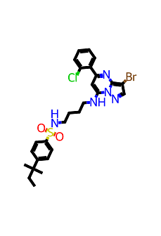 CCC(C)(C)c1ccc(S(=O)(=O)NCCCCNc2cc(-c3ccccc3Cl)nc3c(Br)cnn23)cc1